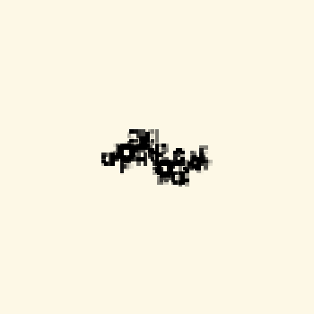 O=C(NC1CC(F)(F)C1)c1cc(NC(=O)C2C(c3ccc(Cl)c(F)c3)C2(Cl)Cl)ccc1Cl